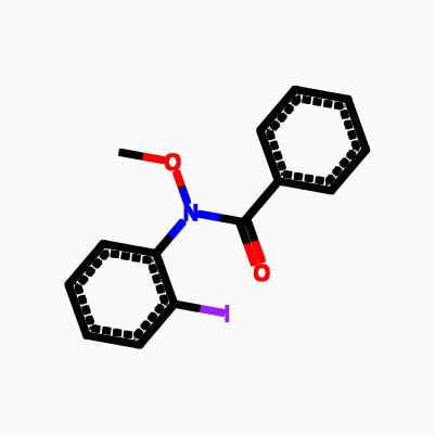 CON(C(=O)c1ccccc1)c1ccccc1I